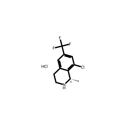 C[C@@H]1NCCc2cc(C(F)(F)F)cc(Cl)c21.Cl